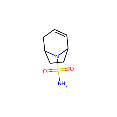 NS(=O)(=O)N1C2C=CCC1CC2